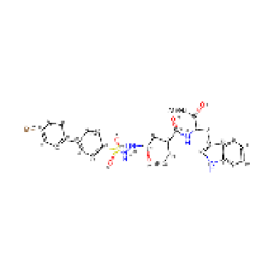 CNC(=O)C(Cc1c[nH]c2ccccc12)NC(=O)C(CC(=O)NNS(=O)(=O)c1ccc(-c2ccc(Br)cc2)cc1)CC(C)C